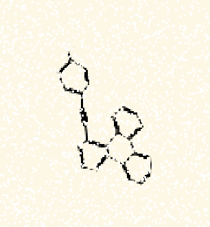 Nc1ccc(C#Cc2cccc3c4ccccc4c4ccccc4c23)cc1